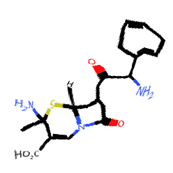 CC1(N)S[C@@H]2C(C(=O)C(N)C3=CCC=CC3)C(=O)N2C=C1C(=O)O